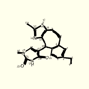 CCc1ccc2c(c1)C=Cc1sc(C)nc1C2c1cn(C)c(=O)[nH]c1=O